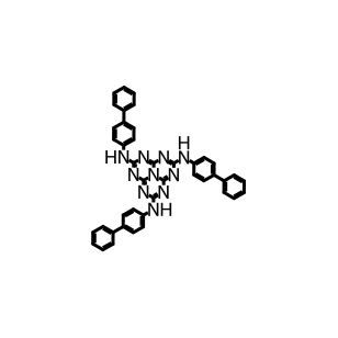 c1ccc(-c2ccc(NC3=NC4=NC(Nc5ccc(-c6ccccc6)cc5)=NC5=NC(Nc6ccc(-c7ccccc7)cc6)=NC(=N3)N45)cc2)cc1